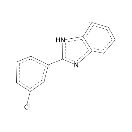 Clc1cccc(-c2nc3ccc[c]c3[nH]2)c1